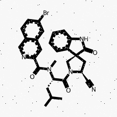 CC(C)C[C@@H](C(=O)N1C[C@]2(C[C@H]1C#N)C(=O)Nc1ccccc12)N(C)C(=O)c1cc2cc(Br)ccc2cn1